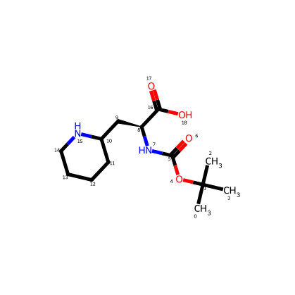 CC(C)(C)OC(=O)N[C@@H](CC1CCCCN1)C(=O)O